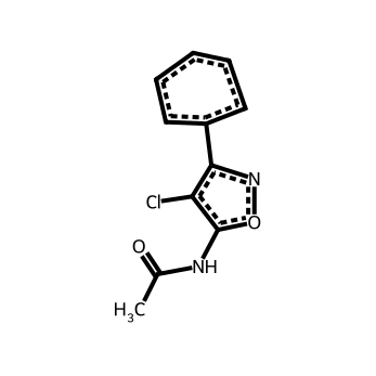 CC(=O)Nc1onc(-c2ccccc2)c1Cl